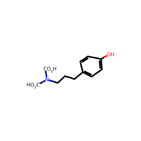 O=C(O)N(CCCc1ccc(O)cc1)C(=O)O